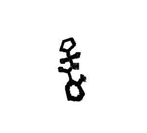 O=C(NS(=O)(=O)C1CCCC1)c1ccccc1Br